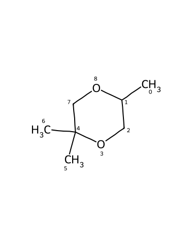 CC1COC(C)(C)CO1